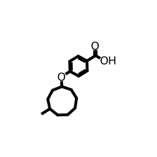 CC1CCCCCC(Oc2ccc(C(=O)O)cc2)CC1